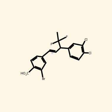 CC(F)(F)C(/C=C/c1ccc(C(=O)O)c(Br)c1)c1ccc(Cl)c(Cl)c1